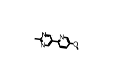 COc1ccc(-c2[c]nc(C)nc2)nc1